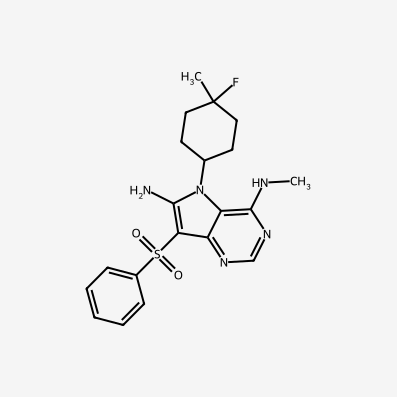 CNc1ncnc2c(S(=O)(=O)c3ccccc3)c(N)n(C3CCC(C)(F)CC3)c12